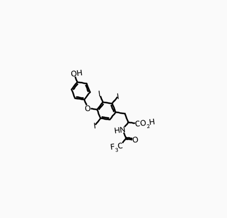 O=C(O)C(Cc1cc(I)c(Oc2ccc(O)cc2)c(I)c1I)NC(=O)C(F)(F)F